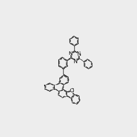 c1ccc(-c2nc(-c3ccccc3)nc(-c3cccc(-c4ccc5c(c4)c4ccccc4c4ccc6c7ccccc7oc6c45)c3)n2)cc1